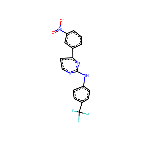 O=[N+]([O-])c1cccc(-c2ccnc(Nc3ccc(C(F)(F)F)cc3)n2)c1